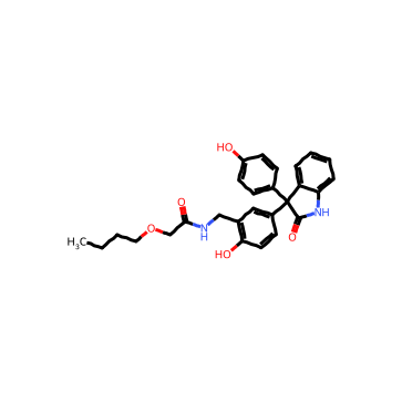 CCCCOCC(=O)NCc1cc(C2(c3ccc(O)cc3)C(=O)Nc3ccccc32)ccc1O